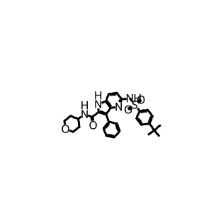 CC(C)(C)c1ccc(S(=O)(=O)Nc2ccc3[nH]c(C(=O)NC4CCOCC4)c(-c4ccccc4)c3n2)cc1